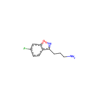 NCCCc1noc2cc(F)ccc12